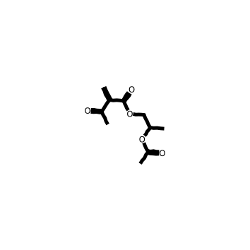 C=C(C(C)=O)C(=O)OCC(C)OC(C)=O